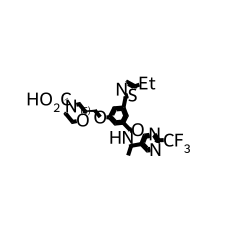 CCc1cnc(-c2cc(OC[C@@H]3CN(C(=O)O)CCO3)cc(C(=O)NC(C)c3cnc(C(F)(F)F)nc3)c2)s1